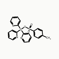 Cc1ccc(S(=O)(=O)OS(c2ccccn2)(c2ccccn2)c2ccccn2)cc1